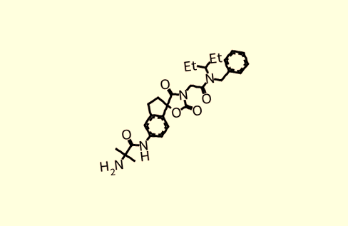 CCC(CC)N(Cc1ccccc1)C(=O)CN1C(=O)OC2(CCc3cc(NC(=O)C(C)(C)N)ccc32)C1=O